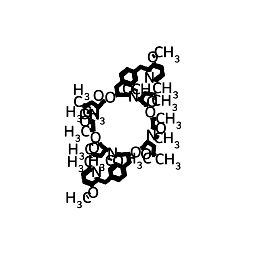 COc1cccnc1Cc1ccc(CC2OC(=O)C(CC(C)C)N(C)C(=O)C(C)OC(=O)C(CC(C)C)N(C)C(=O)C(Cc3ccc(Cc4ncccc4OC)cc3)OC(=O)C(CC(C)C)N(C)C(=O)C(C)OC(=O)C(CC(C)C)N(C)C2=O)cc1